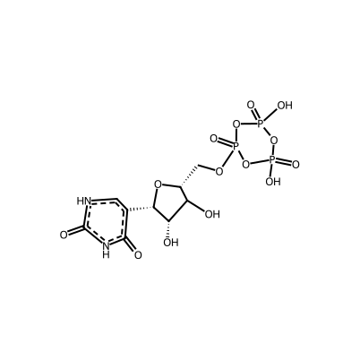 O=c1[nH]cc([C@@H]2O[C@H](COP3(=O)OP(=O)(O)OP(=O)(O)O3)C(O)[C@@H]2O)c(=O)[nH]1